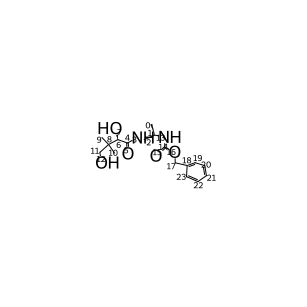 C[C@H](CNC(=O)[C@H](O)C(C)(C)CO)NC(=O)OCc1ccccc1